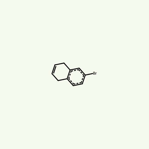 Brc1ccc2c(c1)CC=CC2